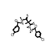 CN(C(=O)c1ccc(Cl)cc1)N(C)C(=S)C(C)(C)C(=S)N(C)N(C)C(=O)c1ccc(Cl)cc1